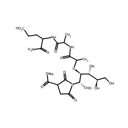 COC(=O)C1CC(=O)N([C@@H](C=O)[C@@H](OC(C)C(=O)NC(C)C(=O)NC(CCC(=O)O)C(N)=O)[C@H](O)[C@H](O)CO)C1=O